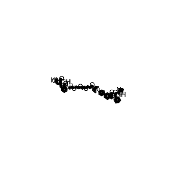 CC1(N2Cc3cccc(NCCOCCOCCOCCC(=O)N4CCN(c5ccc(-c6ccc7c(c6)C(=O)N(C(C(=O)Nc6nccs6)c6ccccc6)C7)cc5)CC4)c3C2=O)CCC(=O)NC1=O